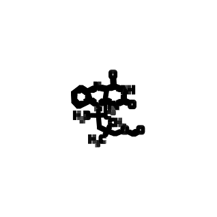 BC(C)(CC(C)(C)COC=O)n1c2nc(=O)[nH]c(=O)c-2nc2ccccc21